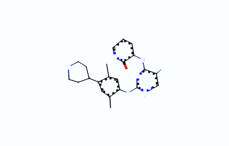 Cc1cc(C2CCNCC2)c(C)cc1Nc1ncc(Cl)c(Nc2ccc[nH]c2=O)n1